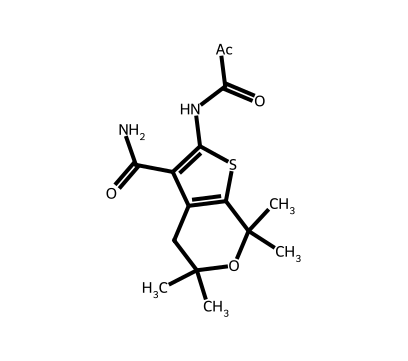 CC(=O)C(=O)Nc1sc2c(c1C(N)=O)CC(C)(C)OC2(C)C